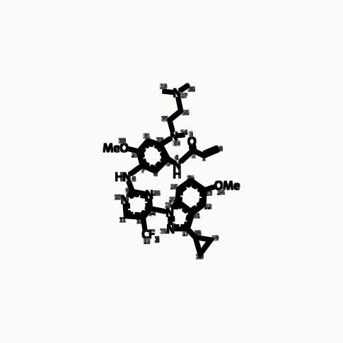 C=CC(=O)Nc1cc(Nc2ncc(C(F)(F)F)c(-n3nc(C4CC4)c4cc(OC)ccc43)n2)c(OC)cc1N(C)CCN(C)C